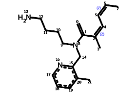 C=C(/C(C)=C\C=C/C)N(CCCCN)Cc1ncccc1C